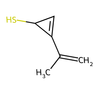 C=C(C)C1=CC1S